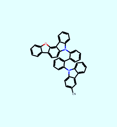 N#Cc1ccc2c(c1)c1ccccc1n2-c1ccccc1-c1ccccc1-n1c2ccccc2c2c3oc4ccccc4c3ccc21